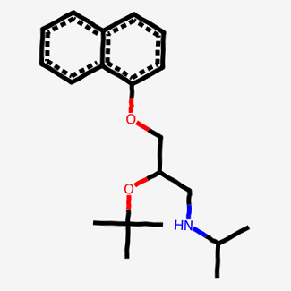 CC(C)NCC(COc1cccc2ccccc12)OC(C)(C)C